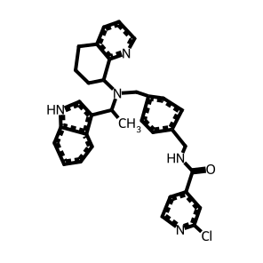 CC(c1c[nH]c2ccccc12)N(Cc1ccc(CNC(=O)c2ccnc(Cl)c2)cc1)C1CCCc2cccnc21